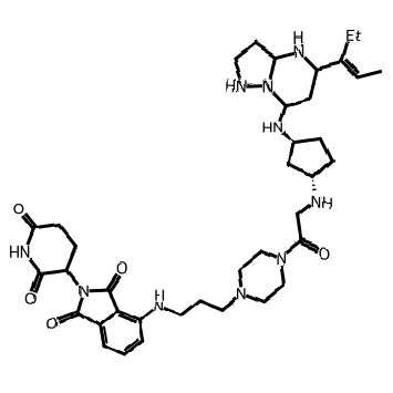 C/C=C(\CC)C1CC(N[C@H]2CC[C@H](NCC(=O)N3CCN(CCCNc4cccc5c4C(=O)N(C4CCC(=O)NC4=O)C5=O)CC3)C2)N2NCCC2N1